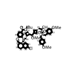 COc1ccc(CN(Cc2ccc(OC)cc2)S(=O)(=O)[C@H](C)C[C@H]2C=C([C@H](OC)[C@@H]3CC[C@H]3CN3C[C@@]4(CCCc5cc(Cl)ccc54)COc4ccc(C(=O)OC(C)(C)C)cc43)C2)cc1